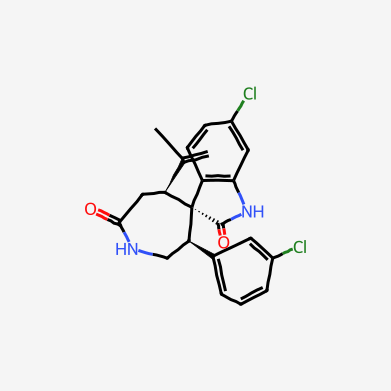 C=C(C)[C@@H]1CC(=O)NC[C@H](c2cccc(Cl)c2)[C@@]12C(=O)Nc1cc(Cl)ccc12